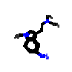 CN(C)CCc1cn(C)c2ccc(N)cc12